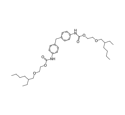 CCCCC(CC)COCCOC(=O)Nc1ccc(Cc2ccc(NC(=O)OCCOCC(CC)CCCC)cc2)cc1